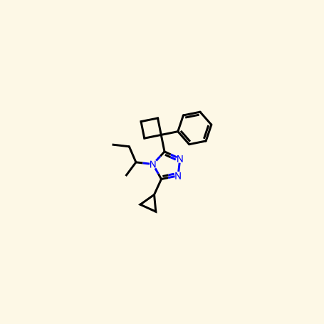 CCC(C)n1c(C2CC2)nnc1C1(c2ccccc2)CCC1